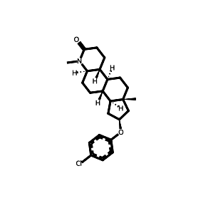 CN1C(=O)CC[C@@H]2[C@H]3CC[C@]4(C)C[C@@H](Oc5ccc(Cl)cc5)C[C@H]4[C@@H]3CC[C@H]21